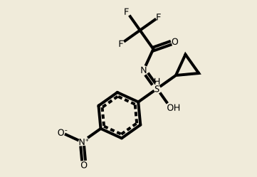 O=C(N=[SH](O)(c1ccc([N+](=O)[O-])cc1)C1CC1)C(F)(F)F